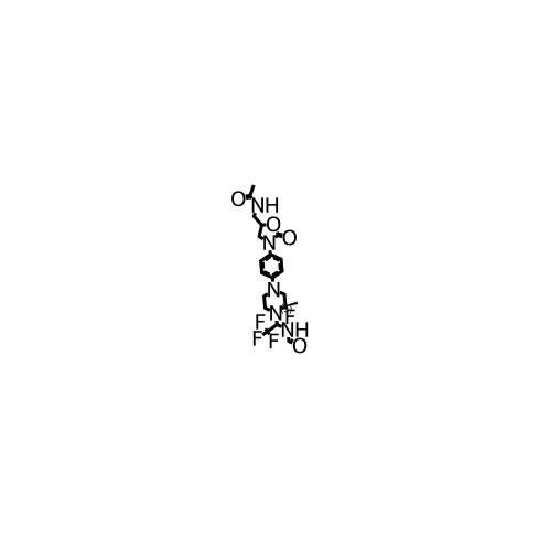 CC(=O)NCC1CN(c2ccc(N3CCN(C(NC=O)C(F)(F)F)[C@@](C)(F)C3)cc2)C(=O)O1